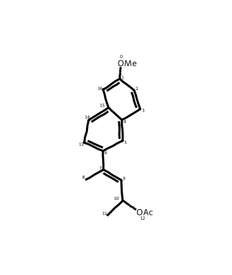 COc1ccc2cc(C(C)=CC(C)OC(C)=O)ccc2c1